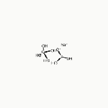 O[Si](O)(O)O.[Na+].[O-]B(O)O